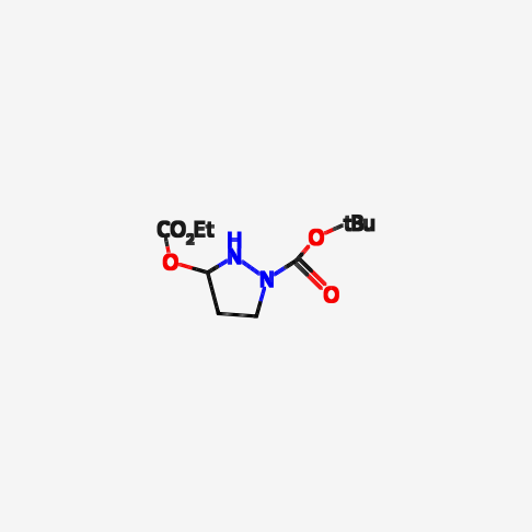 CCOC(=O)OC1CCN(C(=O)OC(C)(C)C)N1